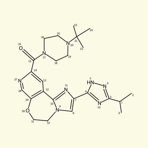 CC(C)c1n[nH]c(-c2cn3c(n2)-c2cc(C(=O)N4CCN(C(C)(C)C)CC4)ncc2OCC3)n1